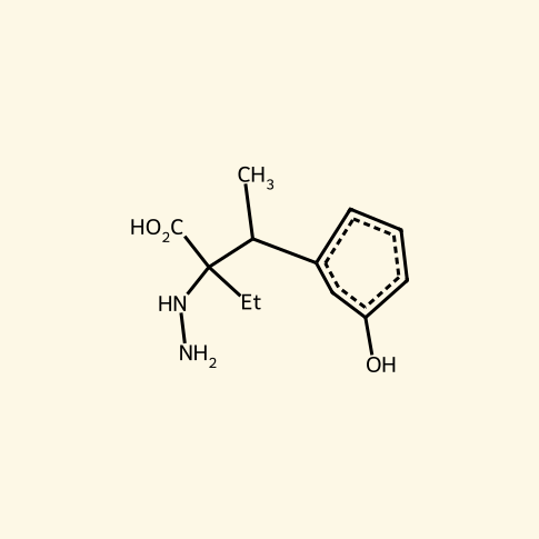 CCC(NN)(C(=O)O)C(C)c1cccc(O)c1